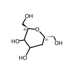 OC[C@@H]1CC(O)C(O)[C@@H](CO)O1